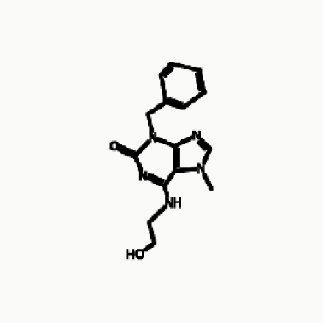 Cn1cnc2c1c(NCCO)nc(=O)n2Cc1ccccc1